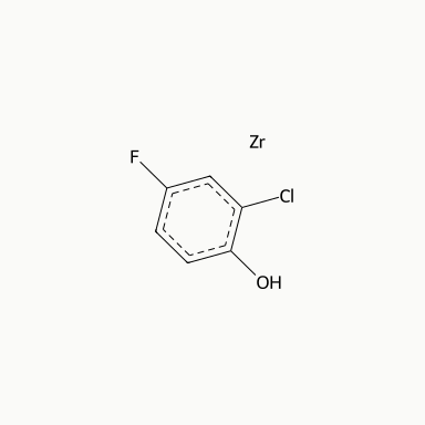 Oc1ccc(F)cc1Cl.[Zr]